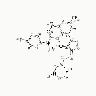 CC(C)N(C(=O)Oc1c(-n2ccn(CCC3CN(C)CCO3)c2=O)cc(C(F)(F)F)cc1C(F)(F)F)c1ccc(F)cc1